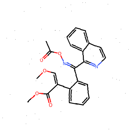 COC=C(C(=O)OC)c1ccccc1C(=NOC(C)=O)c1nccc2ccccc12